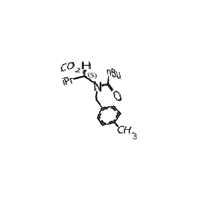 CCCCC(=O)N(Cc1ccc(C)cc1)[C@H](C(=O)O)C(C)C